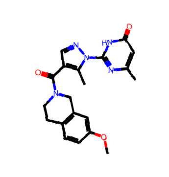 COc1ccc2c(c1)CN(C(=O)c1cnn(-c3nc(C)cc(=O)[nH]3)c1C)CC2